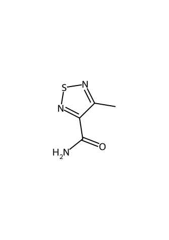 Cc1nsnc1C(N)=O